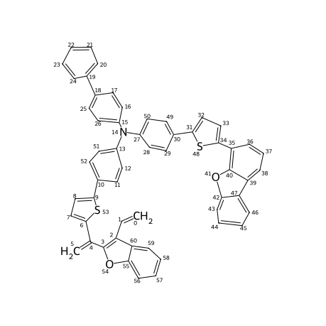 C=Cc1c(C(=C)c2ccc(-c3ccc(N(c4ccc(-c5ccccc5)cc4)c4ccc(-c5ccc(-c6cccc7c6oc6ccccc67)s5)cc4)cc3)s2)oc2ccccc12